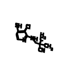 CC(C)(C#N)CNc1nccc(S)c1Cl